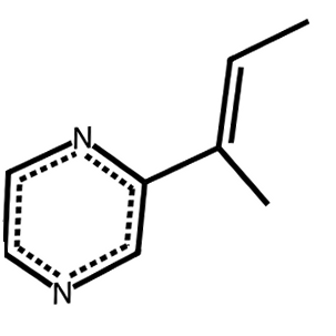 CC=C(C)c1cnccn1